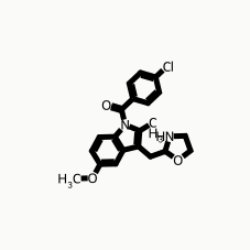 COc1ccc2c(c1)c(CC1NCCO1)c(C)n2C(=O)c1ccc(Cl)cc1